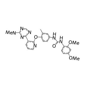 CNc1ncnc(-c2cccnc2Oc2ccc(NC(=O)Nc3ccc(OC)cc3OC)cc2C)n1